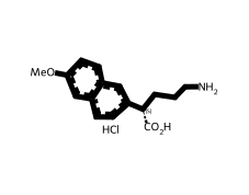 COc1ccc2cc([C@H](CCCN)C(=O)O)ccc2c1.Cl